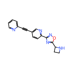 C(#Cc1ccccn1)c1ccc(-c2noc(C3CCN3)n2)nc1